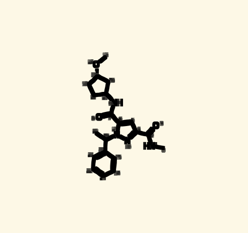 CNC(=O)c1cc(C(=O)NC2CC[C@H](OC)C2)n(C(C)c2ccccc2)n1